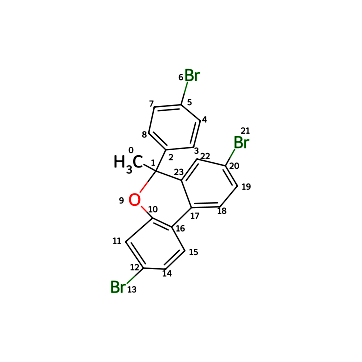 CC1(c2ccc(Br)cc2)Oc2cc(Br)ccc2-c2ccc(Br)cc21